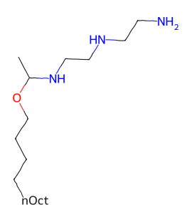 CCCCCCCCCCCCOC(C)NCCNCCN